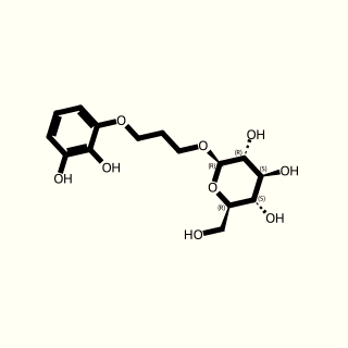 OC[C@H]1O[C@@H](OCCCOc2cccc(O)c2O)[C@H](O)[C@@H](O)[C@@H]1O